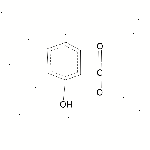 O=C=O.Oc1ccccc1